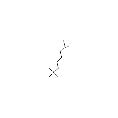 CNCCCCS(C)(C)C